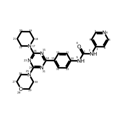 O=C(Nc1ccncc1)Nc1ccc(-c2nc(N3CCCCC3)nc(N3CCOCC3)n2)cc1